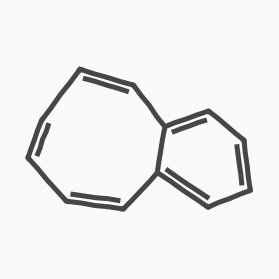 C1=CC=Cc2ccccc2C=C1